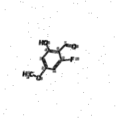 COc1cc(O)c(C=O)c(F)c1